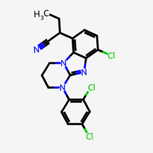 CCC(C#N)c1ccc(Cl)c2nc3n(c12)CCCN3c1ccc(Cl)cc1Cl